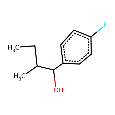 CCC(C)C(O)c1ccc(F)cc1